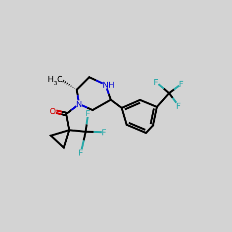 C[C@@H]1CNC(c2cccc(C(F)(F)F)c2)CN1C(=O)C1(C(F)(F)F)CC1